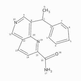 CC(c1ccccc1)c1cncc2ccc(C(N)=O)nc12